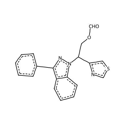 O=COCC(c1cscn1)n1nc(-c2ccccc2)c2ccccc21